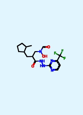 CC1CCCC1CC(CN(O)C=O)C(=O)NNc1nccc(C(F)(F)F)n1